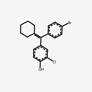 Oc1ccc(C(=C2CCCCC2)c2ccc(Br)cc2)cc1Cl